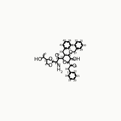 CC(O)C1COC([C@@H](N)C(=O)C2O[C@@H](C(=O)Cc3ccccc3)C(O)C(OCc3ccccc3)C2Cc2ccccc2)O1